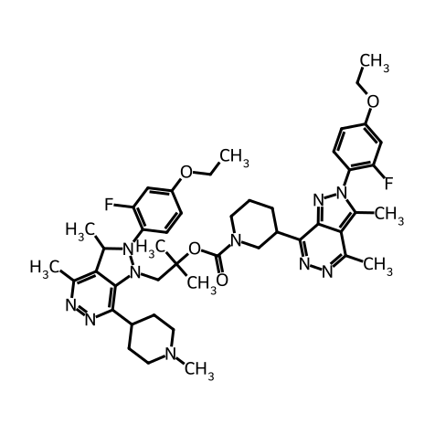 CCOc1ccc(N2C(C)c3c(C)nnc(C4CCN(C)CC4)c3N2CC(C)(C)OC(=O)N2CCCC(c3nnc(C)c4c(C)n(-c5ccc(OCC)cc5F)nc34)C2)c(F)c1